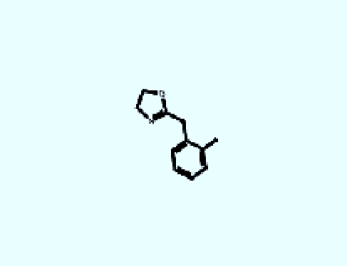 Cc1ccccc1CC1=NCCO1